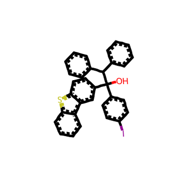 OC(c1ccc(I)cc1)(c1ccc2sc3ccccc3c2c1)C(c1ccccc1)c1ccccc1